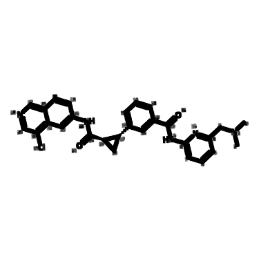 CN(C)Cc1cccc(NC(=O)c2cccc([C@@H]3C[C@H]3C(=O)Nc3ccc4cncc(Cl)c4c3)c2)n1